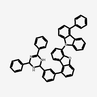 c1ccc(C2=NC(c3ccccc3)NC(c3cccc(-c4cccc5oc6c(-n7c8ccccc8c8c(-c9ccccc9)cccc87)cccc6c45)c3)N2)cc1